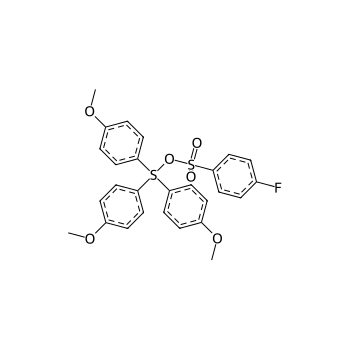 COc1ccc(S(OS(=O)(=O)c2ccc(F)cc2)(c2ccc(OC)cc2)c2ccc(OC)cc2)cc1